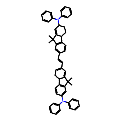 CC1(C)C2=CC(/C=C/c3ccc4c(c3)C(C)(C)C3=CC(N(c5ccccc5)c5ccccc5)CCC34)=CCC2c2ccc(N(c3ccccc3)c3ccccc3)cc21